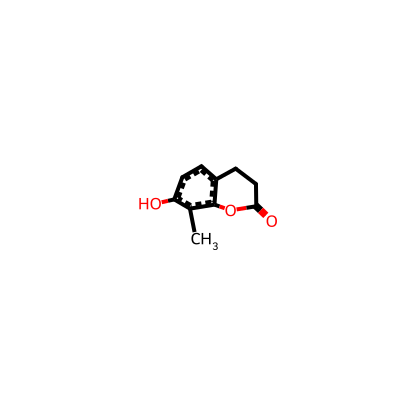 Cc1c(O)ccc2c1OC(=O)CC2